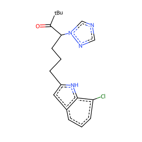 CC(C)(C)C(=O)C(CCCc1cc2cccc(Cl)c2[nH]1)n1cncn1